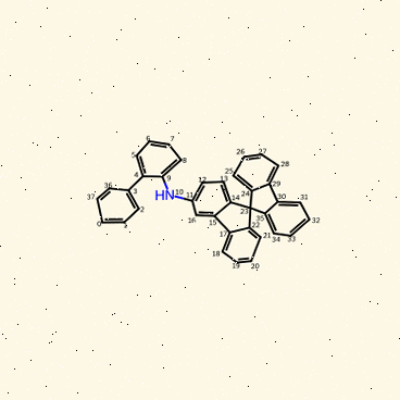 c1ccc(-c2ccccc2Nc2ccc3c(c2)-c2ccccc2C32c3ccccc3-c3ccccc32)cc1